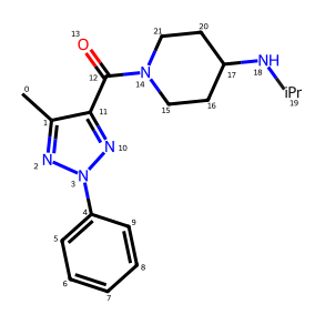 Cc1nn(-c2ccccc2)nc1C(=O)N1CCC(NC(C)C)CC1